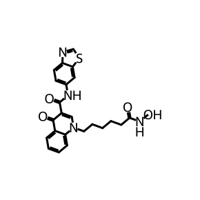 O=C(CCCCCn1cc(C(=O)Nc2ccc3ncsc3c2)c(=O)c2ccccc21)NO